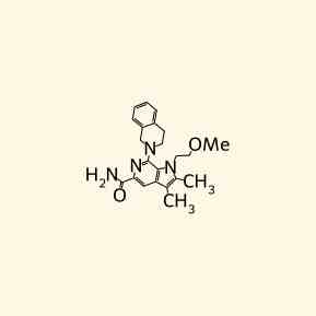 COCCn1c(C)c(C)c2cc(C(N)=O)nc(N3CCc4ccccc4C3)c21